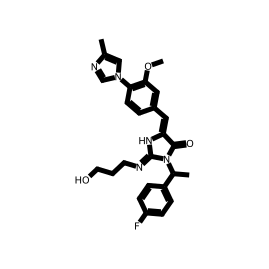 COc1cc(/C=C2\N/C(=N\CCCO)N(C(C)c3ccc(F)cc3)C2=O)ccc1-n1cnc(C)c1